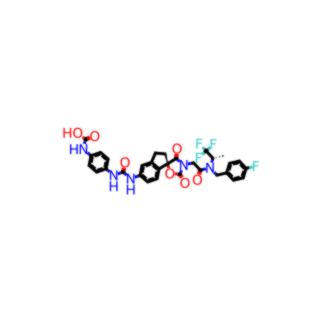 C[C@H](N(Cc1ccc(F)cc1)C(=O)CN1C(=O)O[C@@]2(CCc3cc(NC(=O)Nc4ccc(NC(=O)O)cc4)ccc32)C1=O)C(F)(F)F